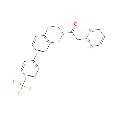 O=C(Cc1ncccn1)N1CCc2ccc(-c3ccc(C(F)(F)F)cc3)cc2C1